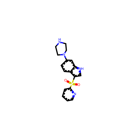 O=S(=O)(c1ccccn1)c1c[nH]c2cc(N3CCNCC3)ccc12